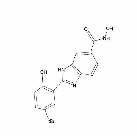 CC(C)(C)c1ccc(O)c(-c2nc3ccc(C(=O)NO)cc3[nH]2)c1